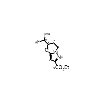 CCOC(=O)c1cc2n(n1)CCC(C(F)F)O2